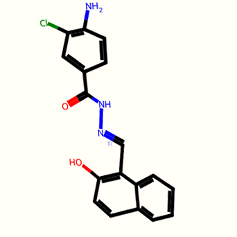 Nc1ccc(C(=O)N/N=C/c2c(O)ccc3ccccc23)cc1Cl